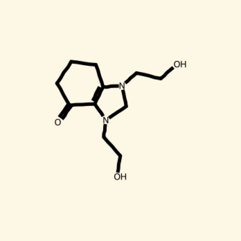 O=C1CCCC2=C1N(CCO)CN2CCO